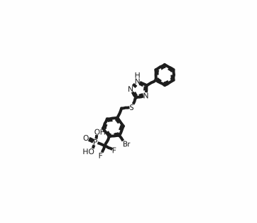 O=P(O)(O)C(F)(F)c1ccc(CSc2n[nH]c(-c3ccccc3)n2)cc1Br